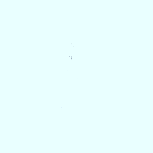 [N-]=[N+]=C1CC=C(Br)c2cccc(F)c21